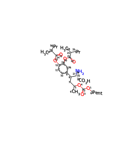 CCCC(C)OC(=O)OC(C)CC(c1ccc(OC(=O)C(C)C(C)C)c(OC(=O)C(C)C(C)C)c1)[C@H](N)C(=O)O